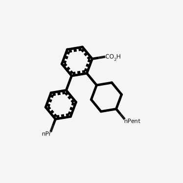 CCCCCC1CCC(c2c(C(=O)O)cccc2-c2ccc(CCC)cc2)CC1